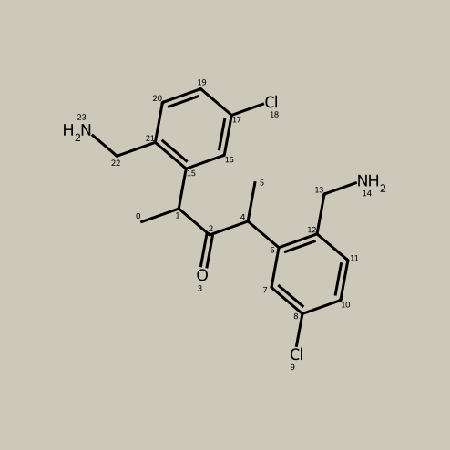 CC(C(=O)C(C)c1cc(Cl)ccc1CN)c1cc(Cl)ccc1CN